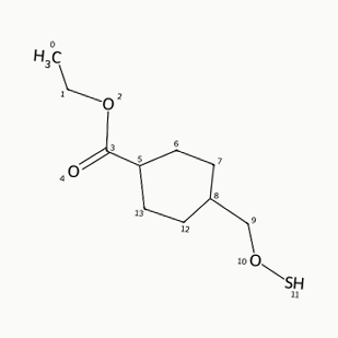 CCOC(=O)C1CCC(COS)CC1